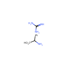 CC(C)C(N)C(=O)O.N=C(N)N